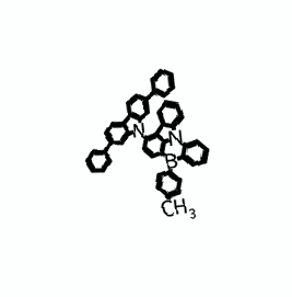 Cc1ccc(B2c3ccccc3-n3c4ccccc4c4c(-n5c6cc(-c7ccccc7)ccc6c6ccc(-c7ccccc7)cc65)ccc2c43)cc1